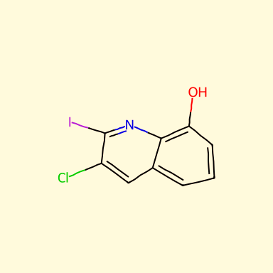 Oc1cccc2cc(Cl)c(I)nc12